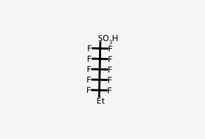 CCC(F)(F)C(F)(F)C(F)(F)C(F)(F)C(F)(F)S(=O)(=O)O